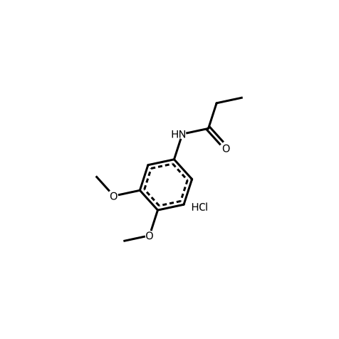 CCC(=O)Nc1ccc(OC)c(OC)c1.Cl